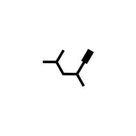 C#C[C](C)CC(C)C